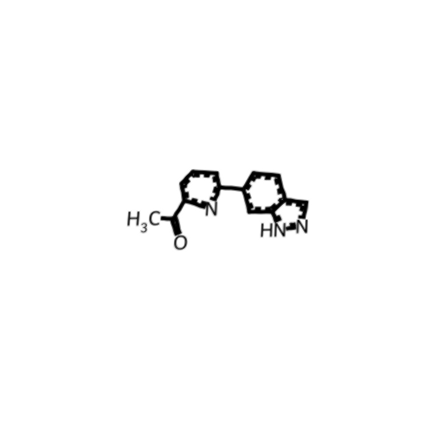 CC(=O)c1cccc(-c2ccc3cn[nH]c3c2)n1